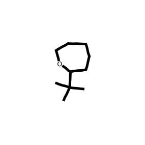 CC(C)(C)C1CCCCCO1